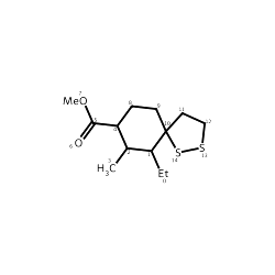 CCC1C(C)C(C(=O)OC)CCC12CCSS2